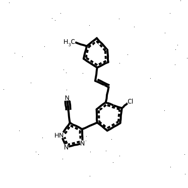 Cc1cccc(/C=C/c2cc(-c3nn[nH]c3C#N)ccc2Cl)c1